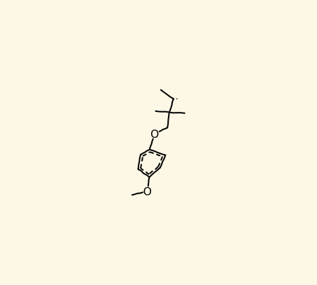 C[CH]C(C)(C)COc1ccc(OC)cc1